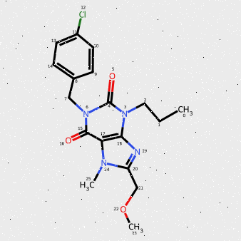 CCCn1c(=O)n(Cc2ccc(Cl)cc2)c(=O)c2c1nc(COC)n2C